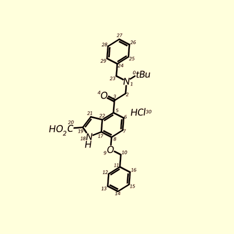 CC(C)(C)N(CC(=O)c1ccc(OCc2ccccc2)c2[nH]c(C(=O)O)cc12)Cc1ccccc1.Cl